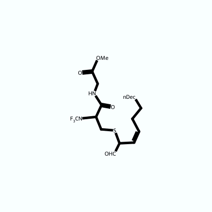 CCCCCCCCCCCC/C=C\C(C=O)SCC(NC(F)(F)F)C(=O)NCC(=O)OC